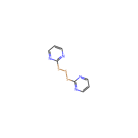 c1cnc(SSSc2ncccn2)nc1